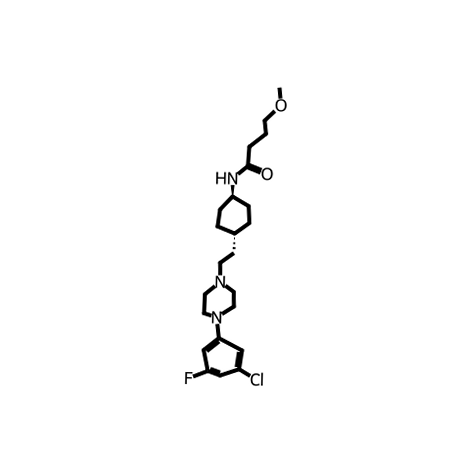 COCCCC(=O)N[C@H]1CC[C@H](CCN2CCN(c3cc(F)cc(Cl)c3)CC2)CC1